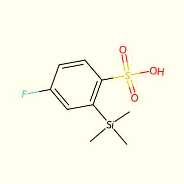 C[Si](C)(C)c1cc(F)ccc1S(=O)(=O)O